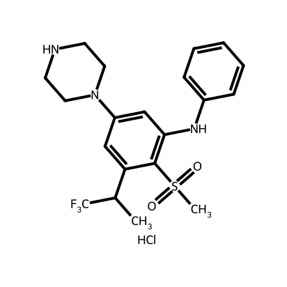 CC(c1cc(N2CCNCC2)cc(Nc2ccccc2)c1S(C)(=O)=O)C(F)(F)F.Cl